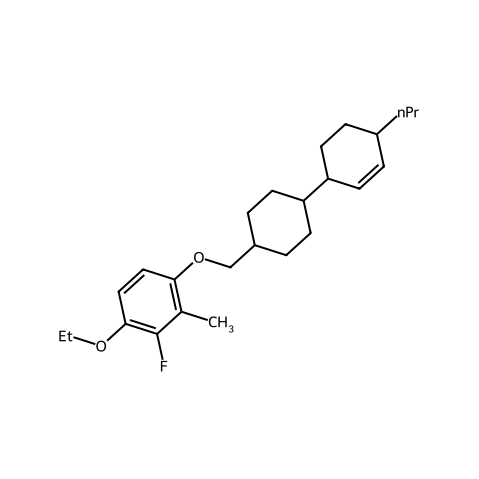 CCCC1C=CC(C2CCC(COc3ccc(OCC)c(F)c3C)CC2)CC1